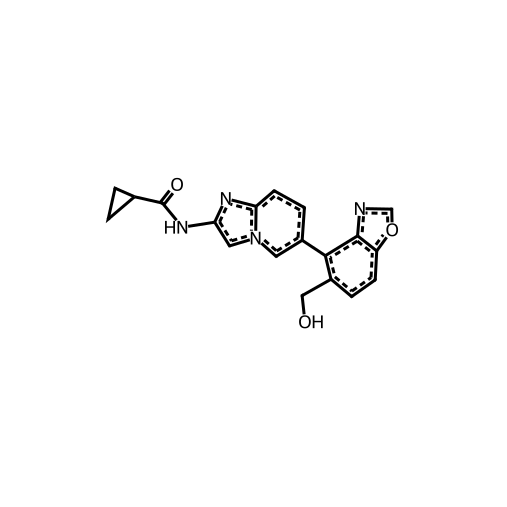 O=C(Nc1cn2cc(-c3c(CO)ccc4ocnc34)ccc2n1)C1CC1